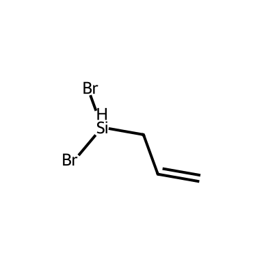 C=CC[SiH](Br)Br